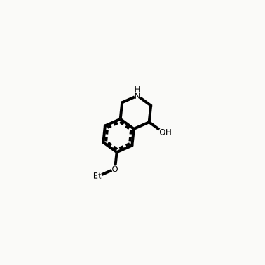 CCOc1ccc2c(c1)C(O)CNC2